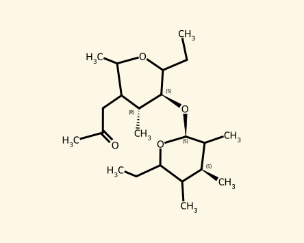 CCC1O[C@@H](O[C@@H]2C(CC)OC(C)C(CC(C)=O)[C@H]2C)C(C)[C@@H](C)C1C